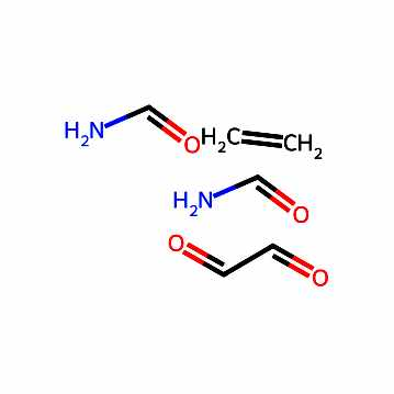 C=C.NC=O.NC=O.O=CC=O